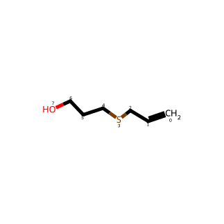 C=CCSCC[CH]O